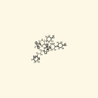 CS(=O)(=O)N1CCC(c2ccc(F)cc2)CC1.O=C(CCCc1ncccn1)CS(=O)(=O)N1CCC(c2ccc(F)cc2)CC1